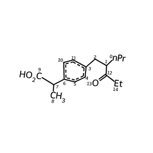 CCCC(Cc1ccc(C(C)C(=O)O)cc1)C(=O)CC